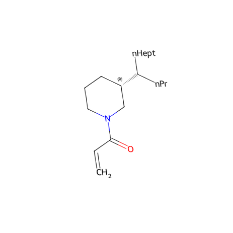 C=CC(=O)N1CCC[C@H](C(CCC)CCCCCCC)C1